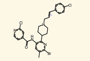 Cc1cc(NC(=O)c2ccnc(Cl)c2)c(C2CCN(C/C=C/c3ccc(Cl)cc3)CC2)nc1Br